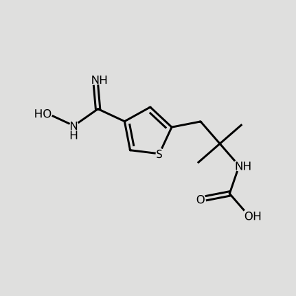 CC(C)(Cc1cc(C(=N)NO)cs1)NC(=O)O